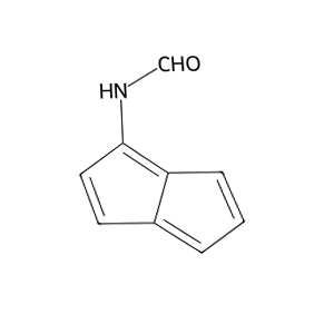 O=CNC1=C2C=CC=C2C=C1